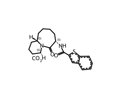 O=C(N[C@H]1CCCC[C@H]2CCC[C@@H](C(=O)O)N2C1=O)c1cc2ccccc2s1